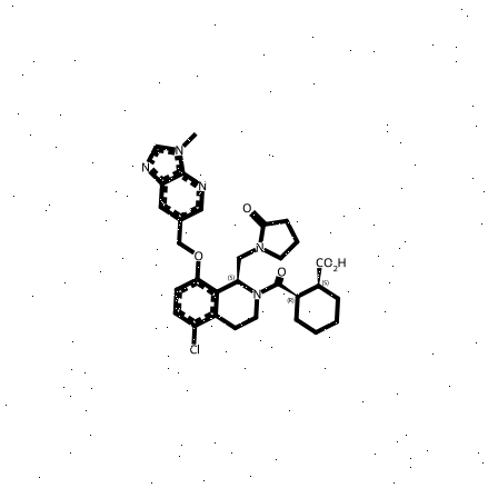 Cn1cnc2cc(COc3ccc(Cl)c4c3[C@@H](CN3CCCC3=O)N(C(=O)[C@@H]3CCCC[C@@H]3C(=O)O)CC4)cnc21